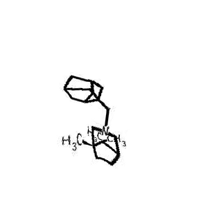 CC1(C)C2CC[C@]1(C)CN(CC13CC4CC(CC1C4)C3)C2